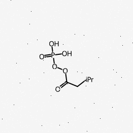 CC(C)CC(=O)OOP(=O)(O)O